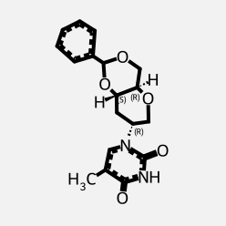 Cc1cn([C@H]2CO[C@@H]3COC(c4ccccc4)O[C@H]3C2)c(=O)[nH]c1=O